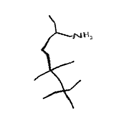 CC(N)CC(C)(C)C(C)(C)C